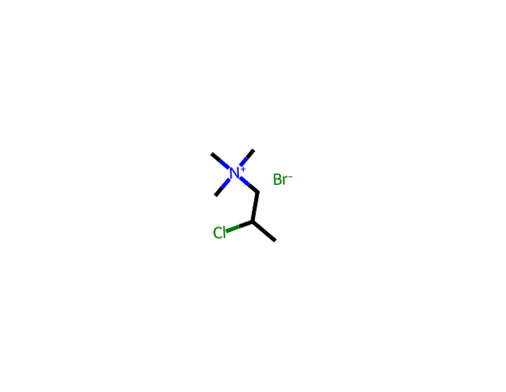 CC(Cl)C[N+](C)(C)C.[Br-]